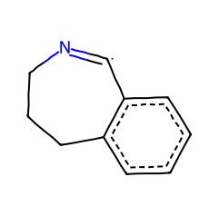 [C]1=NCCCc2ccccc21